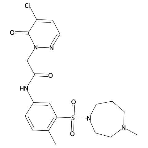 Cc1ccc(NC(=O)Cn2nccc(Cl)c2=O)cc1S(=O)(=O)N1CCCN(C)CC1